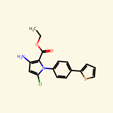 CCOC(=O)c1c(N)cc(Cl)n1-c1ccc(-c2cccs2)cc1